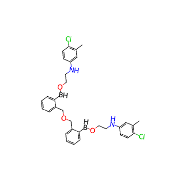 Cc1cc(NCCOBc2ccccc2COCc2ccccc2BOCCNc2ccc(Cl)c(C)c2)ccc1Cl